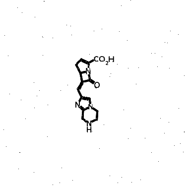 O=C(O)C1=CCC2C(=Cc3cn4c(n3)CNCC4)C(=O)N12